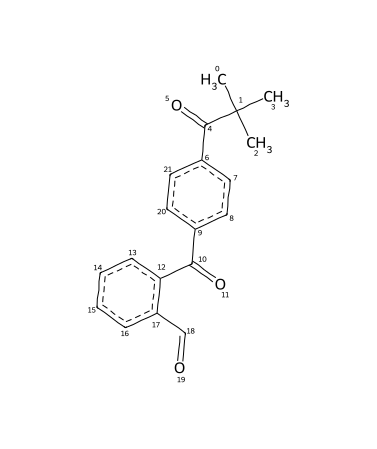 CC(C)(C)C(=O)c1ccc(C(=O)c2ccccc2C=O)cc1